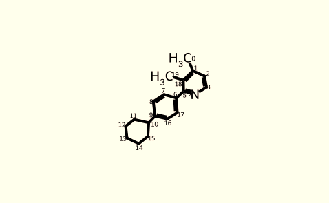 Cc1ccnc(-c2ccc(C3CCCCC3)cc2)c1C